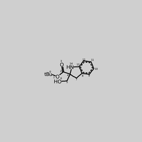 CC(C)(C)OC(=O)C1(CO)Cc2ccccc2N1